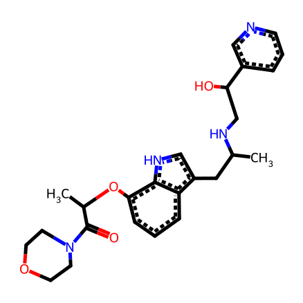 CC(Cc1c[nH]c2c(OC(C)C(=O)N3CCOCC3)cccc12)NCC(O)c1cccnc1